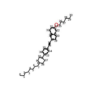 CCCCCCCCC1CCC(c2ccc(C#Cc3ccc4cc(OCCCCCC)ccc4c3)cc2)CC1